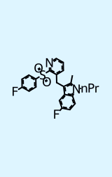 CCCn1c(C)c(Cc2cccnc2S(=O)(=O)c2ccc(F)cc2)c2cc(F)ccc21